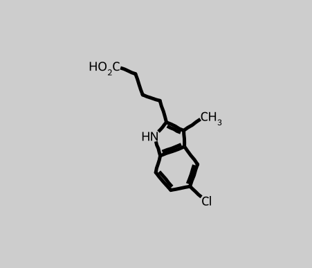 Cc1c(CCCC(=O)O)[nH]c2ccc(Cl)cc12